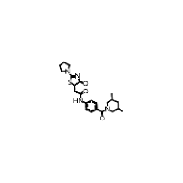 CC1CC(C)CN(C(=O)c2ccc(NC(=O)CC3SC(N4CCCC4)=NC3=O)cc2)C1